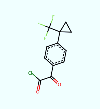 O=C(Cl)C(=O)c1ccc(C2(C(F)(F)F)CC2)cc1